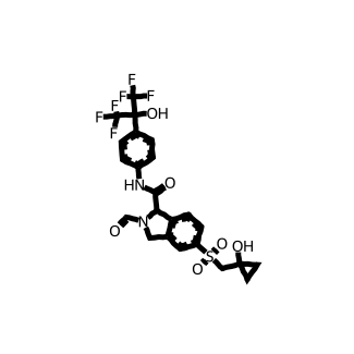 O=CN1Cc2cc(S(=O)(=O)CC3(O)CC3)ccc2C1C(=O)Nc1ccc(C(O)(C(F)(F)F)C(F)(F)F)cc1